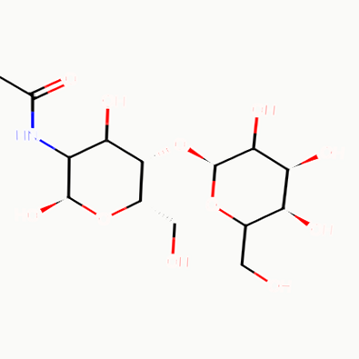 CC(=O)NC1C(O)[C@H](O[C@@H]2OC(CO)[C@H](O)[C@H](O)C2O)[C@H](CO)O[C@H]1O